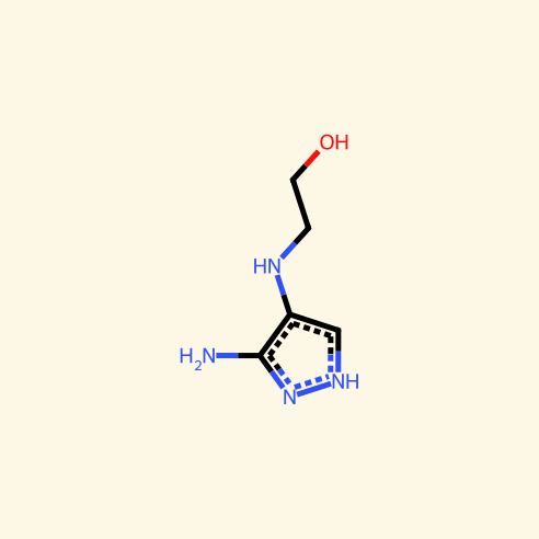 Nc1n[nH]cc1NCCO